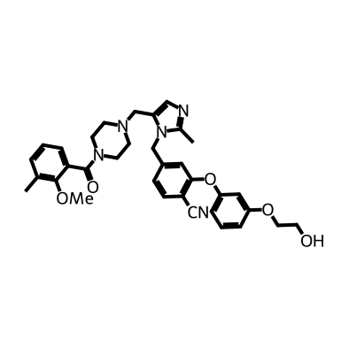 COc1c(C)cccc1C(=O)N1CCN(Cc2cnc(C)n2Cc2ccc(C#N)c(Oc3cccc(OCCO)c3)c2)CC1